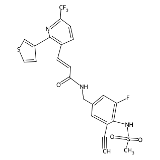 C#Cc1cc(CNC(=O)C=Cc2ccc(C(F)(F)F)nc2-c2ccsc2)cc(F)c1NS(C)(=O)=O